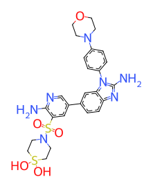 Nc1ncc(-c2ccc3nc(N)n(-c4ccc(N5CCOCC5)cc4)c3c2)cc1S(=O)(=O)N1CCS(O)(O)CC1